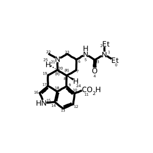 CCN(CC)C(=O)NC1C[C@@H]2c3c(C(=O)O)ccc4[nH]cc(c34)C[C@H]2N(C)C1